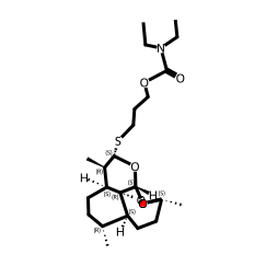 CCN(CC)C(=O)OCCCS[C@@H]1O[C@@H]2O[C@]3(C)CC[C@H]4[C@H](C)CC[C@@H]([C@H]1C)[C@@]24OO3